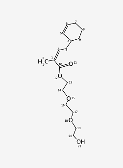 CC(=CCC1C=CCCC1)C(=O)OCCOCCOCCO